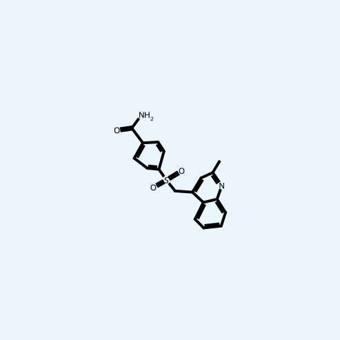 Cc1cc(CS(=O)(=O)c2ccc(C(N)=O)cc2)c2ccccc2n1